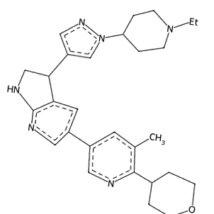 CCN1CCC(n2cc(C3CNc4ncc(-c5cnc(C6CCOCC6)c(C)c5)cc43)cn2)CC1